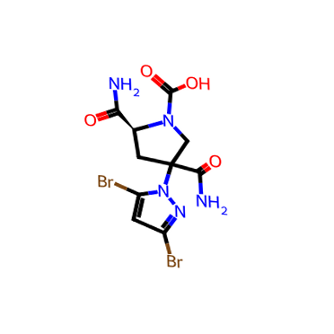 NC(=O)[C@@H]1CC(C(N)=O)(n2nc(Br)cc2Br)CN1C(=O)O